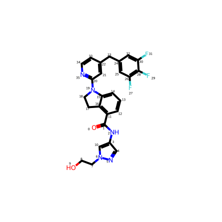 O=C(Nc1cnn(CCO)c1)c1cccc2c1CCN2c1cc(Cc2cc(F)c(F)c(F)c2)ccn1